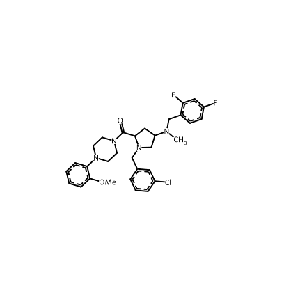 COc1ccccc1N1CCN(C(=O)C2CC(N(C)Cc3ccc(F)cc3F)CN2Cc2cccc(Cl)c2)CC1